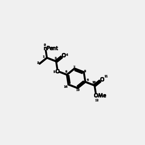 CCCCCC(C)C(=O)Oc1ccc(C(=O)OC)cc1